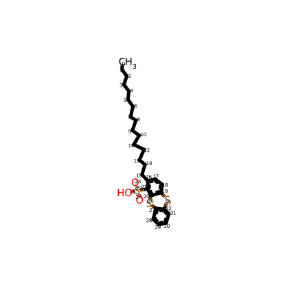 CCCCCCCCCCCCCCCCc1ccc2c(c1S(=O)(=O)O)Sc1ccccc1S2